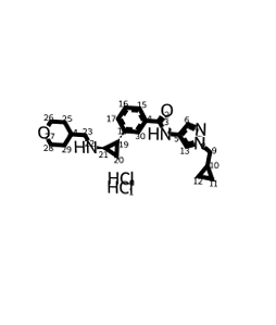 Cl.Cl.O=C(Nc1cnn(CC2CC2)c1)c1cccc([C@@H]2C[C@H]2NCC2CCOCC2)c1